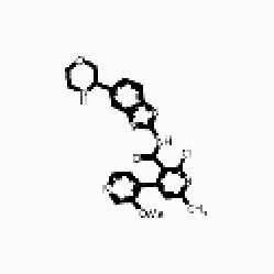 COc1cnccc1-c1cc(C)nc(Cl)c1C(=O)Nc1nc2ccc(C3COCCN3)cc2s1